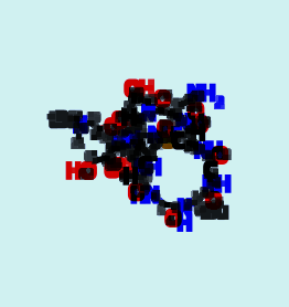 CC[C@H](C)C1NC(=O)CNC(=O)[C@@H]2Cc3c([nH]c4cc(OCCN(C)C(C)(C)C)ccc34)[S+]([O-])C[C@H](NC(=O)CNC1=O)C(=O)N[C@@H](CC(N)=O)C(=O)N1C[C@H](O)C[C@H]1C(=O)N[C@@H]([C@@H](C)[C@@H](O)CO)C(=O)N2